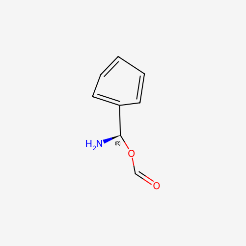 N[C@H](OC=O)c1ccccc1